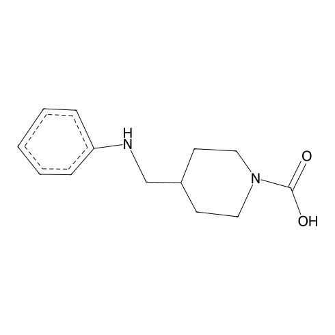 O=C(O)N1CCC(CNc2ccccc2)CC1